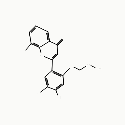 COCOc1cc(Cl)c(C)cc1-c1cc(=O)c2cccc(Cl)c2o1